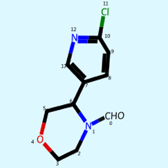 O=CN1CCOCC1c1ccc(Cl)nc1